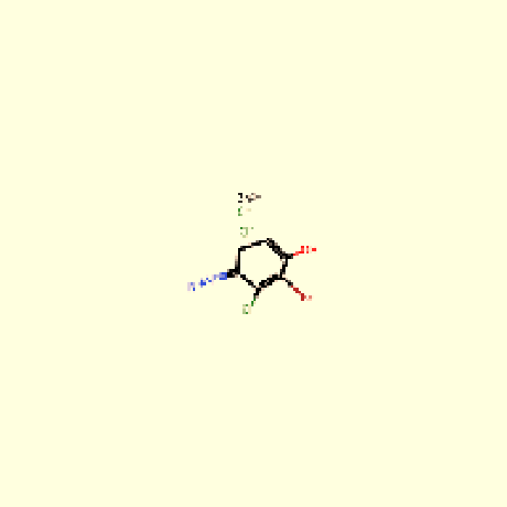 [Cl-].[Cl-].[N-]=[N+]=C1CC=C(O)C(Br)=C1Cl.[Zn+2]